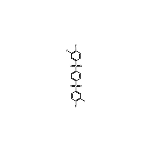 O=S(=O)(c1ccc(S(=O)(=O)c2ccc(F)c(F)c2)cc1)c1ccc(F)c(F)c1